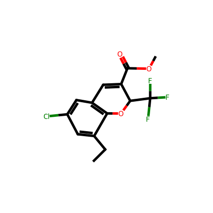 CCc1cc(Cl)cc2c1OC(C(F)(F)F)C(C(=O)OC)=C2